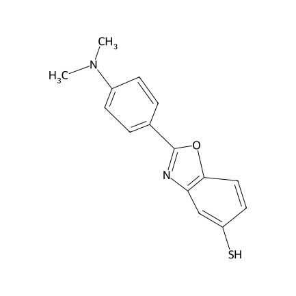 CN(C)c1ccc(-c2nc3cc(S)ccc3o2)cc1